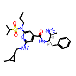 CCCN(c1cc(C(=O)N[C@@H](Cc2ccccc2)[C@H](C)N)cc(NCC2CC2C)n1)S(=O)(=O)C(C)C